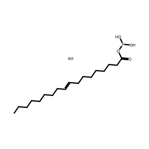 CCCCCCCCC=CCCCCCCCC(=O)OP(O)O.[KH]